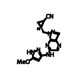 COc1cc(Nc2cnc3cnn(C[C@H]4CC4C#N)c3n2)n[nH]1